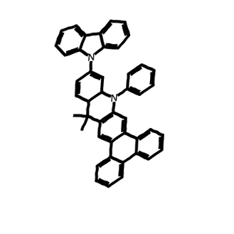 CC1(C)c2cc3c4ccccc4c4ccccc4c3cc2N(c2ccccc2)C2C=C(n3c4ccccc4c4ccccc43)C=CC21